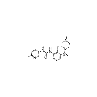 Cc1ccc(NC(=O)Nc2cccc([C@H](C)N3CCN(C)CC3)c2F)cn1